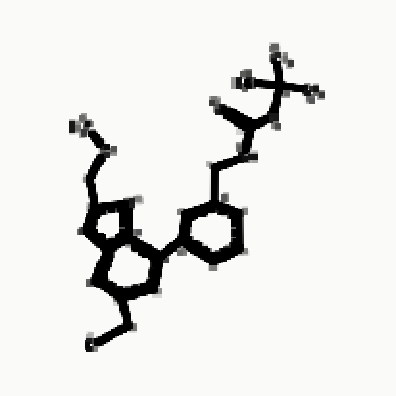 COCc1cc2cc(CCl)cc(-c3cccc(CNC(=O)OC(C)(C)C)c3)c2o1